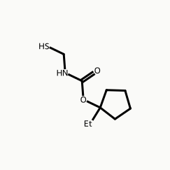 CCC1(OC(=O)NCS)CCCC1